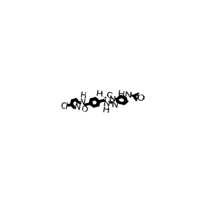 Cn1c(NCc2ccc(C(=O)Nc3ccc(Cl)cn3)cc2)nc2ccc(NC3COC3)cc21